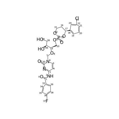 O=C(Nc1ccn(CO[C@H](COP2(=O)OCC[C@@H](c3cccc(Cl)c3)O2)[C@@H](O)CO)c(=O)n1)c1ccc(F)cc1